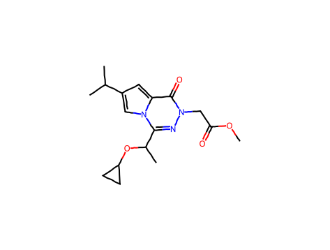 COC(=O)Cn1nc(C(C)OC2CC2)n2cc(C(C)C)cc2c1=O